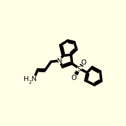 NC=CCn1cc(S(=O)(=O)c2ccccc2)c2ccccc21